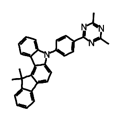 Cc1nc(C)nc(-c2ccc(-n3c4ccccc4c4c5c(ccc43)-c3ccccc3C5(C)C)cc2)n1